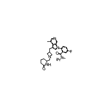 Cc1cncc2c1c(CC1CN(CC3CCCC(=O)N3)C1)cn2-c1ccc(F)cc1C(=O)N(C)C(C)C